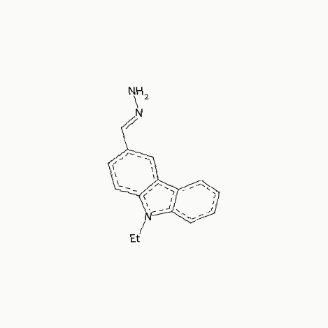 CCn1c2ccccc2c2cc(C=NN)ccc21